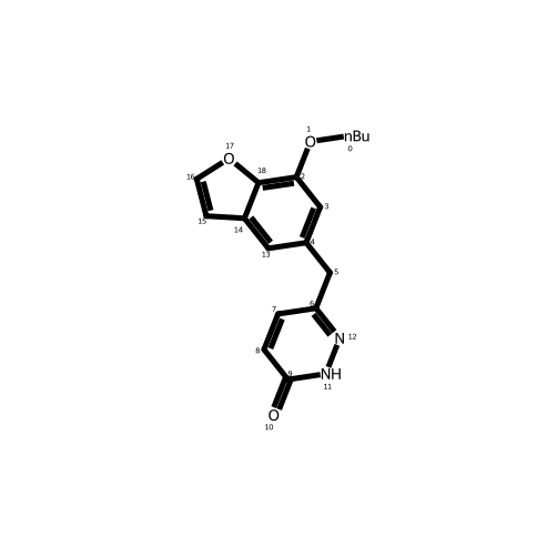 CCCCOc1cc(Cc2ccc(=O)[nH]n2)cc2ccoc12